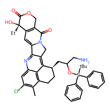 CC[C@@]1(O)C(=O)OCc2c1cc1n(c2=O)Cc2c-1nc1cc(Cl)c(C)c3c1c2[C@@H](CC(CN)O[Si](c1ccccc1)(c1ccccc1)C(C)(C)C)CC3